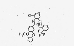 COc1ccc(C(=Nc2c(Cl)cncc2Cl)NCc2ccccc2C(F)(F)F)cc1OC1CCCC1